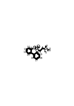 C[PH](C)(C)CCP1(=O)Oc2ccccc2-c2ccccc21